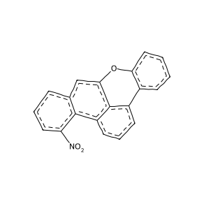 O=[N+]([O-])c1cccc2cc3c4c(cccc4c12)-c1ccccc1O3